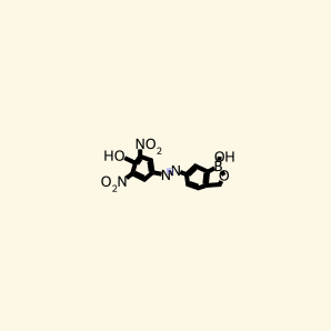 O=[N+]([O-])c1cc(/N=N/c2ccc3c(c2)B(O)OC3)cc([N+](=O)[O-])c1O